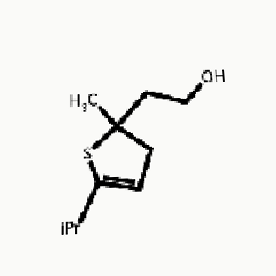 CC(C)C1=CCC(C)(CCO)S1